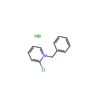 Br.Clc1cccc[n+]1Cc1ccccc1